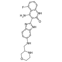 Nc1c(-c2nc3ccc(NCC4COCCN4)cc3[nH]2)c(=O)[nH]c2cccc(F)c12